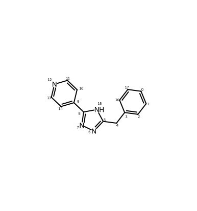 c1ccc(Cc2nnc(-c3ccncc3)[nH]2)cc1